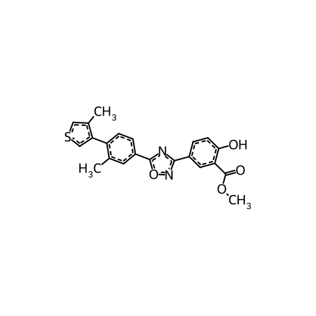 COC(=O)c1cc(-c2noc(-c3ccc(-c4cscc4C)c(C)c3)n2)ccc1O